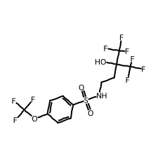 O=S(=O)(NCCC(O)(C(F)(F)F)C(F)(F)F)c1ccc(OC(F)(F)F)cc1